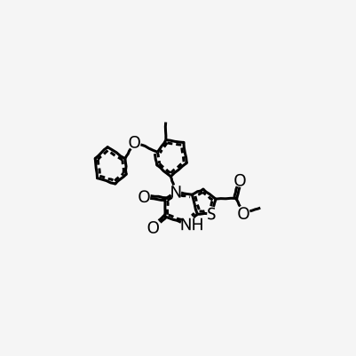 COC(=O)c1cc2c([nH]c(=O)c(=O)n2-c2ccc(C)c(Oc3ccccc3)c2)s1